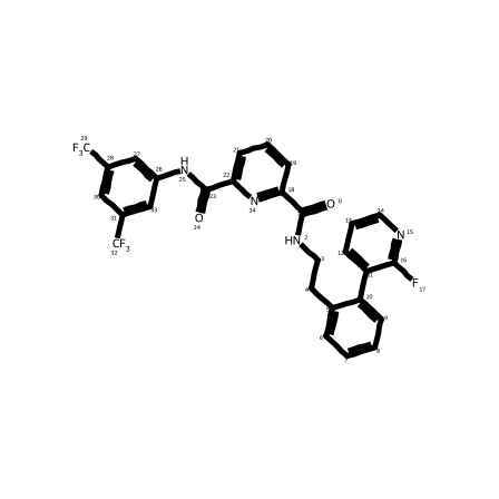 O=C(NCCc1ccccc1-c1cccnc1F)c1cccc(C(=O)Nc2cc(C(F)(F)F)cc(C(F)(F)F)c2)n1